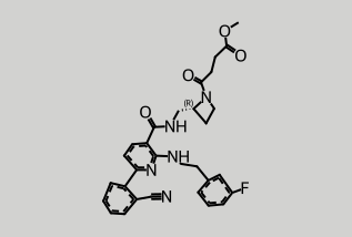 COC(=O)CCC(=O)N1CC[C@@H]1CNC(=O)c1ccc(-c2ccccc2C#N)nc1NCCc1cccc(F)c1